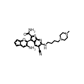 CN1CCN(CCCCNc2nc3sc(C(N)=O)c(-c4oc5cccc-5cc4N)c3cc2C#N)CC1